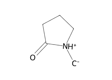 [CH2-][NH+]1CCCC1=O